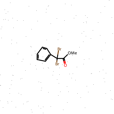 COC(=O)C(Br)(Br)c1ccccc1